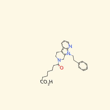 O=C(O)CCCCCC(=O)N1CCc2c(n(CCc3ccccc3)c3ncccc23)C1